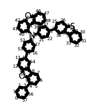 c1ccc(-c2cccc3c2oc2ccc(-c4ccc(N(c5ccc(-c6ccc7sc8ccccc8c7c6)cc5)c5cccc6oc7ccccc7c56)cc4)cc23)cc1